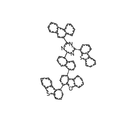 c1ccc2c(c1)cc(-c1nc(-c3cccc4c(-c5ccc(-c6cccc7sc8ccccc8c67)c6oc7ccccc7c56)cccc34)nc(-c3cccc4c3sc3ccccc34)n1)c1ccccc12